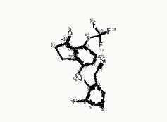 N#Cc1cccc(F)c1Oc1ccc(SC(F)(F)F)c2c1CCC2=O